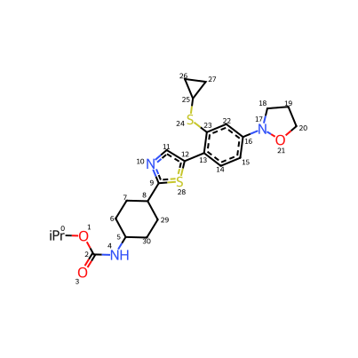 CC(C)OC(=O)NC1CCC(c2ncc(-c3ccc(N4CCCO4)cc3SC3CC3)s2)CC1